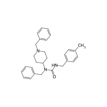 Cc1ccc(CNC(=O)N(Cc2ccccc2)C2CCN(Cc3ccccc3)CC2)cc1